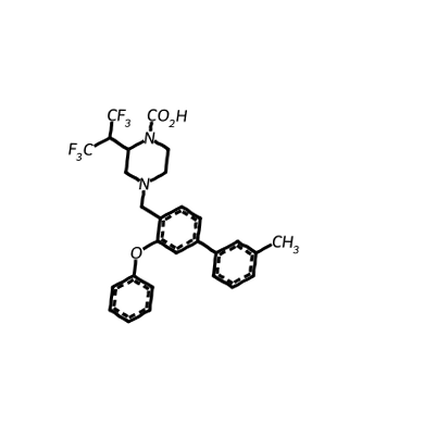 Cc1cccc(-c2ccc(CN3CCN(C(=O)O)C(C(C(F)(F)F)C(F)(F)F)C3)c(Oc3ccccc3)c2)c1